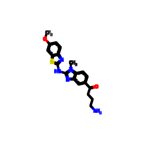 Cn1c(Nc2nc3ccc(OC(F)(F)F)cc3s2)nc2cc(C(=O)CCCN)ccc21